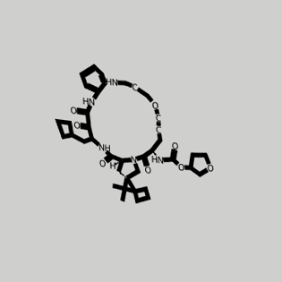 CC1(C)C2(CCC2)[C@@]12C[C@H]1C(=O)NC(CC3CCC3)C(=O)C(=O)Nc3ccccc3NCCCOCCC[C@H](NC(=O)OC3CCOC3)C(=O)N1C2